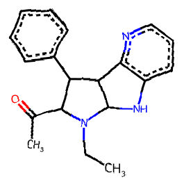 CCN1C2Nc3cccnc3C2C(c2ccccc2)C1C(C)=O